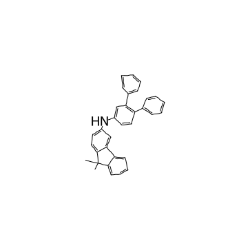 CC1(C)c2ccccc2-c2cc(Nc3ccc(-c4ccccc4)c(-c4ccccc4)c3)ccc21